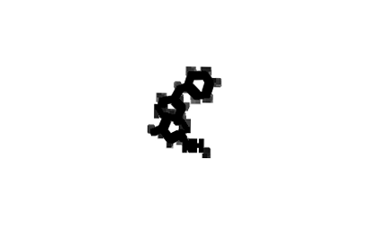 Cc1cc(N)nc2cc(Cc3ccccc3)cnc12